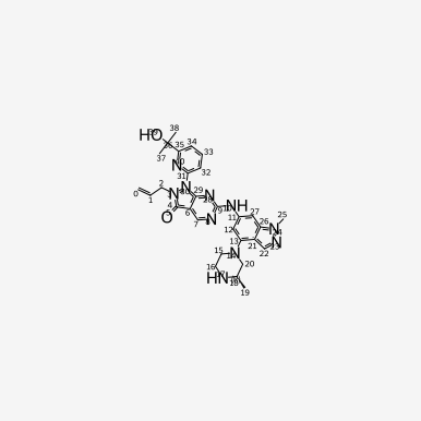 C=CCn1c(=O)c2cnc(Nc3cc(N4CCN[C@H](C)C4)c4cnn(C)c4c3)nc2n1-c1cccc(C(C)(C)O)n1